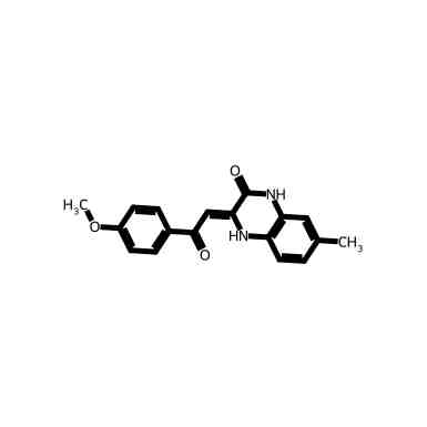 COc1ccc(C(=O)/C=C2\Nc3ccc(C)cc3NC2=O)cc1